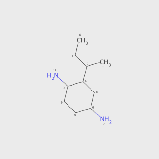 CCC(C)C1CC(N)CCC1N